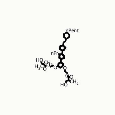 C=C(CO)C(=O)OCCOc1cc(OCCOC(=O)C(C)(C)CO)cc(-c2ccc(-c3ccc(CCC4CCC(CCCCC)CC4)cc3)c(CCC)c2)c1